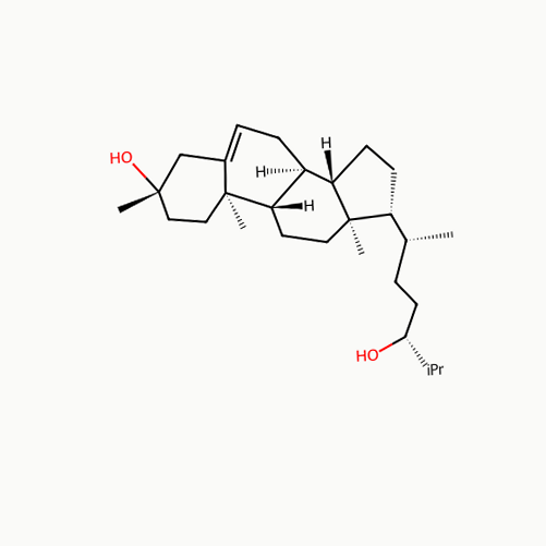 CC(C)[C@H](O)CC[C@@H](C)[C@H]1CC[C@H]2[C@@H]3CC=C4C[C@@](C)(O)CC[C@]4(C)[C@H]3CC[C@]12C